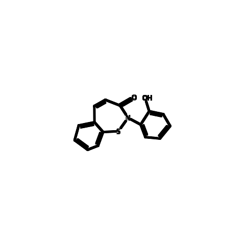 O=C1C=Cc2ccccc2SN1c1ccccc1O